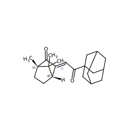 CC1(C)[C@H]2CC[C@]1(C)C(=O)/C2=C/C(=O)C12CC3CC(CC(C3)C1)C2